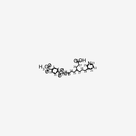 CS(=O)(=O)c1ccc(S(=O)(=O)NCCCCC(CCCc2cccnc2)CCC(=O)O)cc1